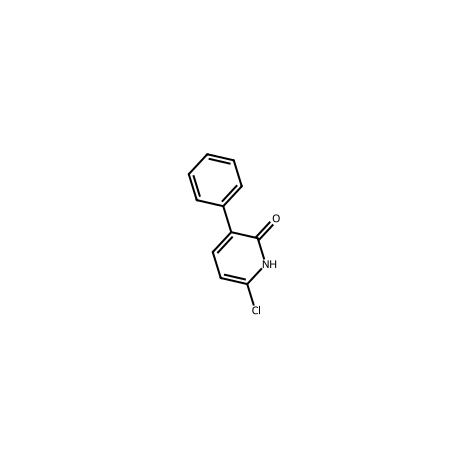 O=c1[nH]c(Cl)ccc1-c1ccccc1